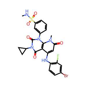 CNS(=O)(=O)c1cccc(-n2c(=O)n(C3CC3)c(=O)c3c(Nc4ccc(Br)cc4F)cc(=O)n(C)c32)c1